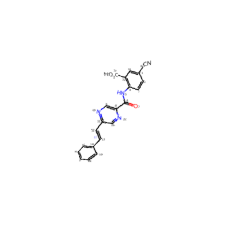 N#Cc1ccc(NC(=O)c2cnc(/C=C/c3ccccc3)cn2)c(C(=O)O)c1